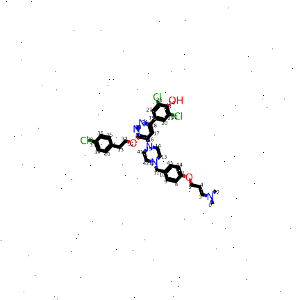 CN(C)CCCOc1ccc(CN2CCN(c3cc(-c4cc(Cl)c(O)c(Cl)c4)nnc3OCCc3ccc(Cl)cc3)CC2)cc1